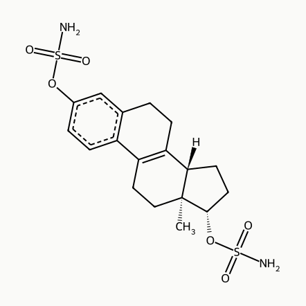 C[C@]12CCC3=C(CCc4cc(OS(N)(=O)=O)ccc43)[C@@H]1CC[C@@H]2OS(N)(=O)=O